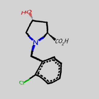 O=C(O)[C@@H]1C[C@@H](O)CN1Cc1ccccc1Cl